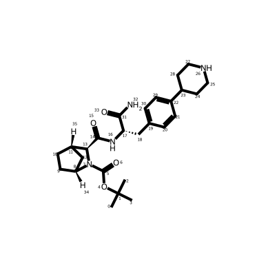 CC(C)(C)OC(=O)N1[C@@H]2CC[C@@H](C2)[C@H]1C(=O)N[C@@H](Cc1ccc(C2CCNCC2)cc1)C(N)=O